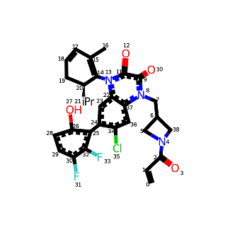 C=CC(=O)N1CC(Cn2c(=O)c(=O)n(C3=C(C)C=CC[C@@H]3C(C)C)c3cc(-c4c(O)ccc(F)c4F)c(Cl)cc32)C1